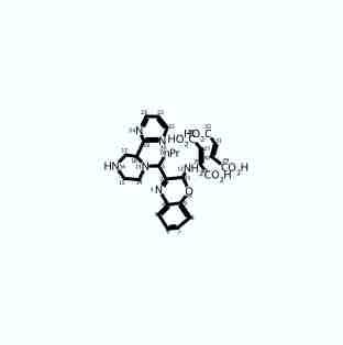 CCCC(C1=Nc2ccccc2OC1N)N1CCNCC1c1ncccn1.O=C(O)C=CC(=O)O.O=C(O)C=CC(=O)O